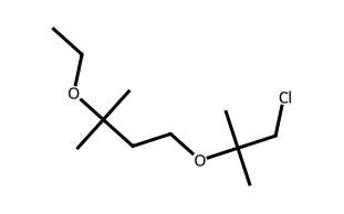 CCOC(C)(C)CCOC(C)(C)CCl